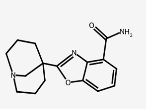 NC(=O)c1cccc2oc(C34CCCN(CCC3)C4)nc12